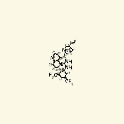 C=CC1CN2CCC1CC2[C@H](NC(=S)Nc1cc(C(F)(F)F)cc(C(F)(F)F)c1)c1ccnc2ccccc12